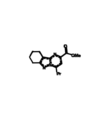 COC(=O)c1cc(C(C)C)n2nc3c(c2n1)CCCC3